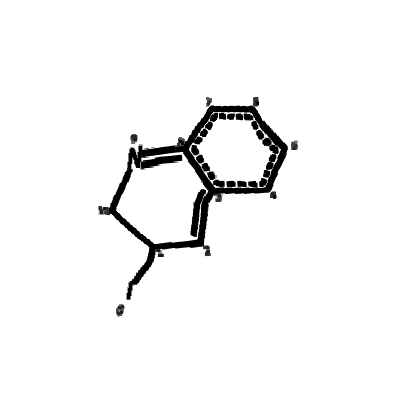 IC1C=c2ccccc2=NC1